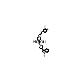 O=C(C=CN1CCC(O)(C(O)CN2CCC(c3c[nH]c4ccccc34)CC2)CC1)c1ccc(F)c(F)c1